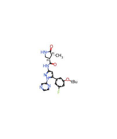 C[C@H]1C(=O)NC[C@@H]1C(=O)Nc1cc(-c2cc(F)cc(OC(C)(C)C)c2)n(-c2cnccn2)n1